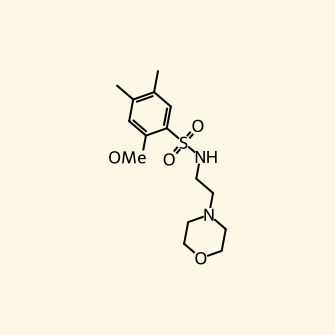 COc1cc(C)c(C)cc1S(=O)(=O)NCCN1CCOCC1